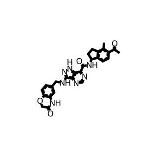 CC(=O)c1ccc2c(c1C)CCC2NC(=O)c1ncnc2c(NCc3ccc4c(c3)NC(=O)CO4)n[nH]c12